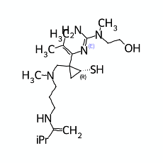 C=C(NCCCN(C)CC1(C(/N=C(\N)N(C)CCO)=C(C)C)C[C@H]1S)C(C)C